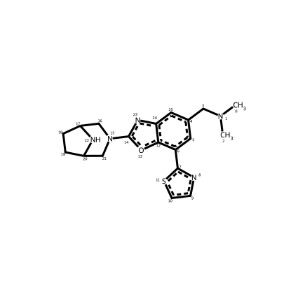 CN(C)Cc1cc(-c2nccs2)c2oc(N3CC4CCC(C3)N4)nc2c1